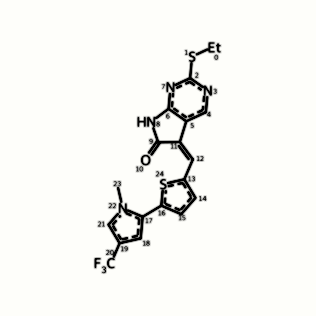 CCSc1ncc2c(n1)NC(=O)C2=Cc1ccc(-c2cc(C(F)(F)F)cn2C)s1